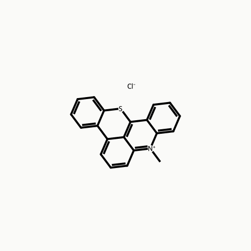 C[n+]1c2ccccc2c2c3c(cccc31)-c1ccccc1S2.[Cl-]